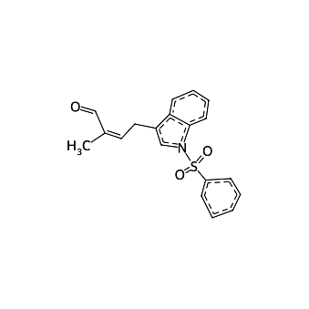 CC(C=O)=CCc1cn(S(=O)(=O)c2ccccc2)c2ccccc12